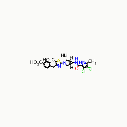 Cc1[nH]c(C(=O)NC2[C@H]3CN(c4nc(Cc5ccc(C(=O)O)cc5)c(C(=O)O)s4)C[C@@H]23)c(Cl)c1Cl.[LiH]